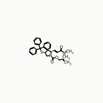 C=CCOC(=O)N1C[C@@H](SC(c2ccccc2)(c2ccccc2)c2ccccc2)C[C@H]1C=CC(=O)N(C)C